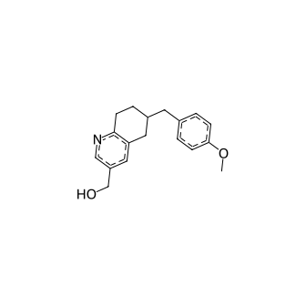 COc1ccc(CC2CCc3ncc(CO)cc3C2)cc1